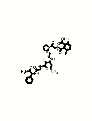 CCCC(NOC[C@@H]1CCCN1C(=O)CNC(=O)c1c(F)ccc(F)c1C(=O)O)C(=O)C(=O)NCC(=O)NC(C(N)=O)c1ccccc1